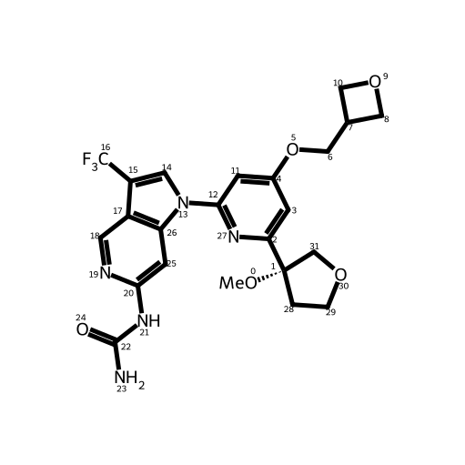 CO[C@@]1(c2cc(OCC3COC3)cc(-n3cc(C(F)(F)F)c4cnc(NC(N)=O)cc43)n2)CCOC1